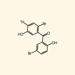 [2H]c1cc(Br)c(C(=O)c2cc(Br)ccc2O)cc1O